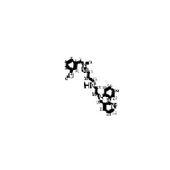 COc1cccc(CN(C)OCCCNCCN(Cc2cccnc2)c2ccccc2)c1